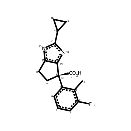 Cc1c(F)cccc1[C@]1(C(=O)O)CCc2nc(C3CC3)sc21